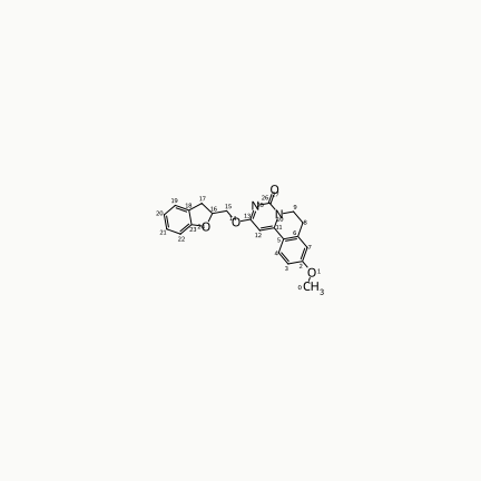 COc1ccc2c(c1)CCn1c-2cc(OCC2Cc3ccccc3O2)nc1=O